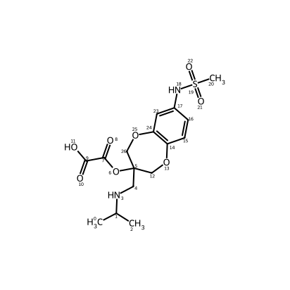 CC(C)NCC1(OC(=O)C(=O)O)COc2ccc(NS(C)(=O)=O)cc2OC1